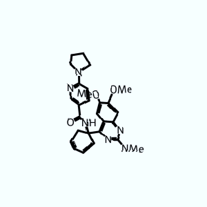 CNc1nc(C2(NC(=O)c3ccc(N4CCCC4)nc3)C=CC=CC2)c2cc(OC)c(OC)cc2n1